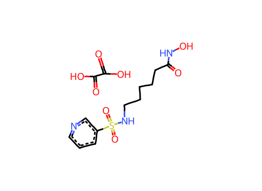 O=C(CCCCCNS(=O)(=O)c1cccnc1)NO.O=C(O)C(=O)O